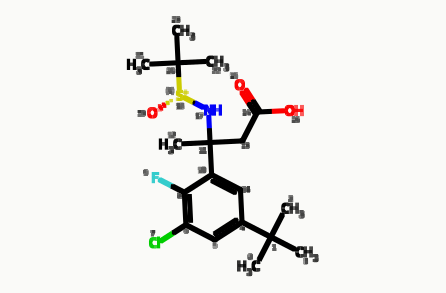 CC(C)(C)c1cc(Cl)c(F)c(C(C)(CC(=O)O)N[S@+]([O-])C(C)(C)C)c1